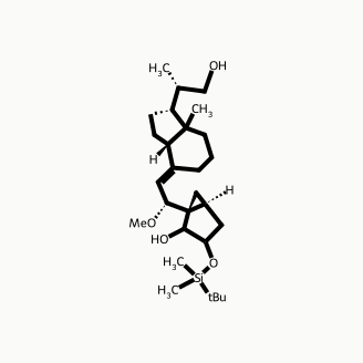 CO[C@H](/C=C1\CCCC2(C)[C@@H]([C@H](C)CO)CC[C@@H]12)[C@]12C[C@H]1CC(O[Si](C)(C)C(C)(C)C)C2O